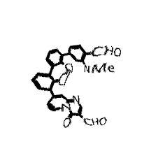 CNc1cc(-c2cccc(-c3cccc(-c4ccn5c(=O)c(C=O)cnc5c4)c3Cl)c2Cl)ccc1C=O